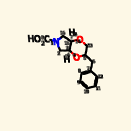 O=C(O)N1C[C@@H]2OC(Cc3ccccc3)CO[C@@H]2C1